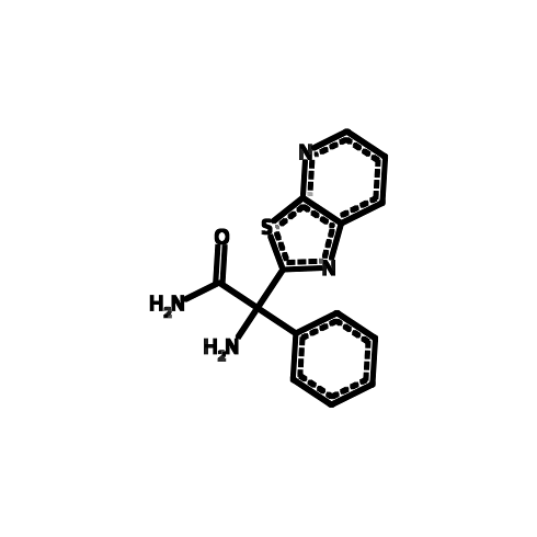 NC(=O)C(N)(c1ccccc1)c1nc2cccnc2s1